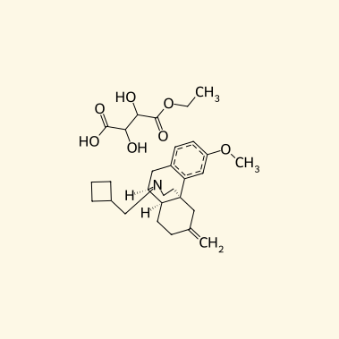 C=C1CC[C@H]2[C@H]3Cc4ccc(OC)cc4[C@@]2(CCN3CC2CCC2)C1.CCOC(=O)C(O)C(O)C(=O)O